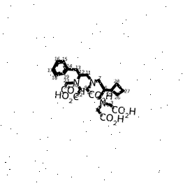 O=C(O)CN(CC(=O)O)CC(CN(CC(=O)O)CC(Cc1ccccc1)N(CC(=O)O)CC(=O)O)C1CCC1